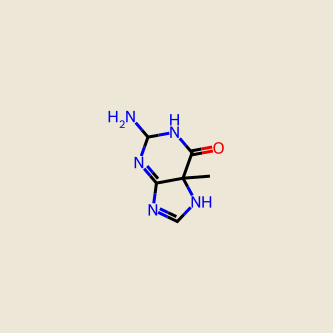 CC12NC=NC1=NC(N)NC2=O